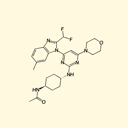 CC(=O)N[C@H]1CC[C@H](Nc2nc(N3CCOCC3)cc(-n3c(C(F)F)nc4ccc(C)cc43)n2)CC1